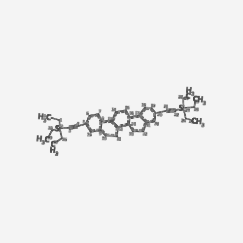 CC[Si](C#Cc1ccc2c(ccc3c2ccc2c4ccc(C#C[Si](CC)(CC)CC)cc4ccc23)c1)(CC)CC